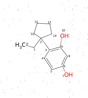 CCC1(c2ccc(O)cc2O)[CH]CCC1